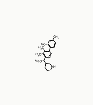 COC(c1nnc(-c2ccc(C)cc2O)c(C)c1C)C1CCCNC1